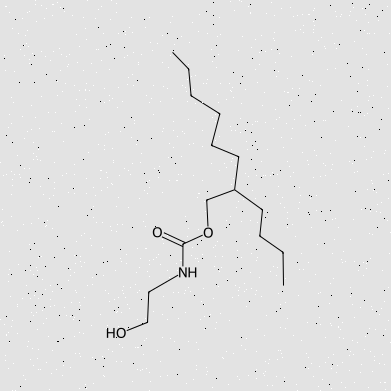 CCCCCCC(CCCC)COC(=O)NCCO